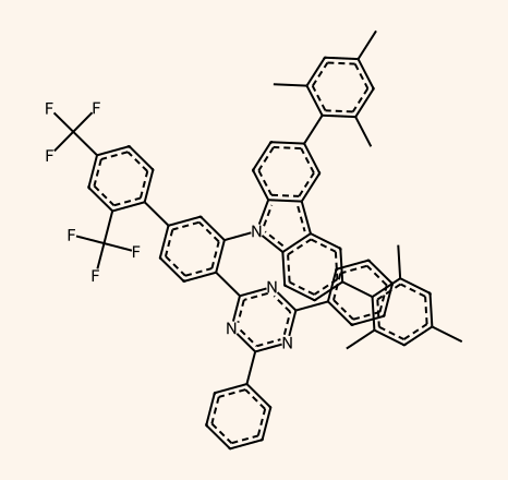 Cc1cc(C)c(-c2ccc3c(c2)c2cc(-c4c(C)cc(C)cc4C)ccc2n3-c2cc(-c3ccc(C(F)(F)F)cc3C(F)(F)F)ccc2-c2nc(-c3ccccc3)nc(-c3ccccc3)n2)c(C)c1